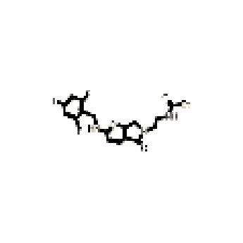 CCC(=O)NCCN1Cc2nc(NCc3c(F)cc(F)cc3F)ccc2C1=O